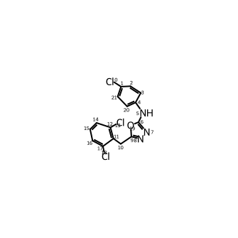 Clc1ccc(Nc2nnc(Cc3c(Cl)cccc3Cl)o2)cc1